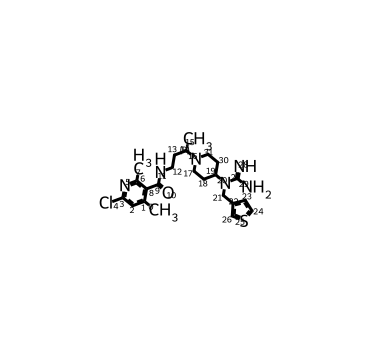 Cc1cc(Cl)nc(C)c1C(=O)NCC[C@@H](C)N1CCC(N(Cc2ccsc2)C(=N)N)CC1